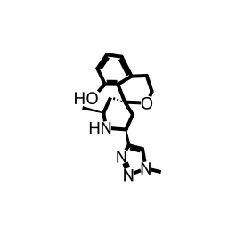 C[C@H]1C[C@@]2(C[C@@H](c3cn(C)nn3)N1)OCCc1cccc(O)c12